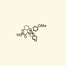 COc1ccc(S(=O)(=O)N(Cc2cccnc2)C(C(=O)NO)C2CCCCC2)cc1